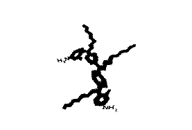 CCCCCCCCCC(c1ccc(C(CCCCCCCC)c2ccc(N)cc2C)cc1)c1ccc(C(CCCCCCCC)c2ccc(N)cc2C)cc1